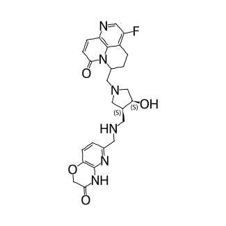 O=C1COc2ccc(CNC[C@H]3CN(CC4CCc5c(F)cnc6ccc(=O)n4c56)C[C@H]3O)nc2N1